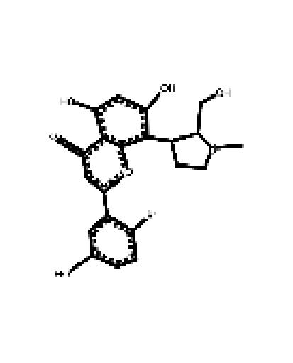 CN1CCC(c2c(O)cc(O)c3c(=O)cc(-c4cc(O)ccc4Br)oc23)C1CO